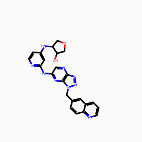 OC1COCC1Nc1ccnc(Nc2cnc3nnn(Cc4ccc5ncccc5c4)c3n2)c1